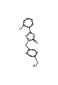 CCC(C)Oc1ccc(Cn2nc(-c3ccccc3Cl)oc2=O)cc1